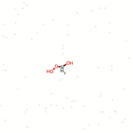 OO[SiH2]O